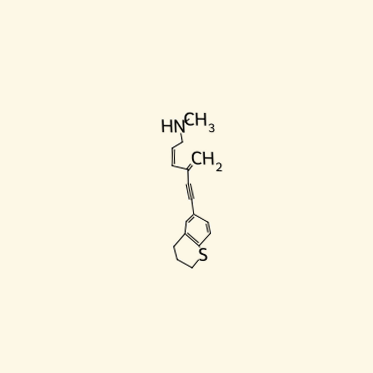 C=C(C#Cc1ccc2c(c1)CCCS2)/C=C\CNC